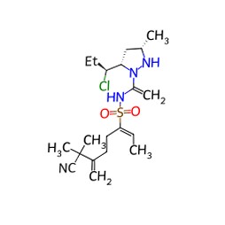 C=C(NS(=O)(=O)/C(=C/C)CCC(=C)C(C)(C)C#N)N1N[C@@H](C)C[C@H]1[C@@H](Cl)CC